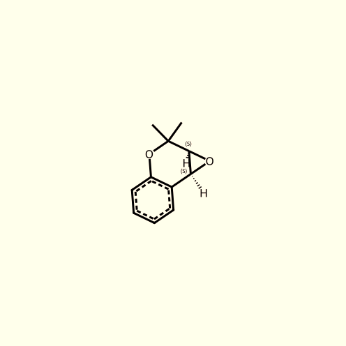 CC1(C)Oc2ccccc2[C@@H]2O[C@@H]21